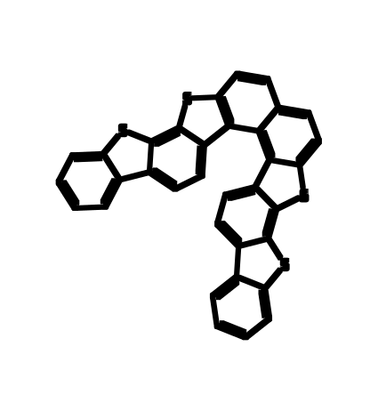 c1ccc2c(c1)sc1c2ccc2c1sc1ccc3ccc4sc5c(ccc6c7ccccc7sc65)c4c3c12